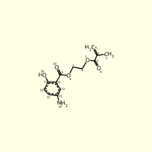 C=C(C)C(=O)OCCOC(=O)c1cc(N)ccc1O